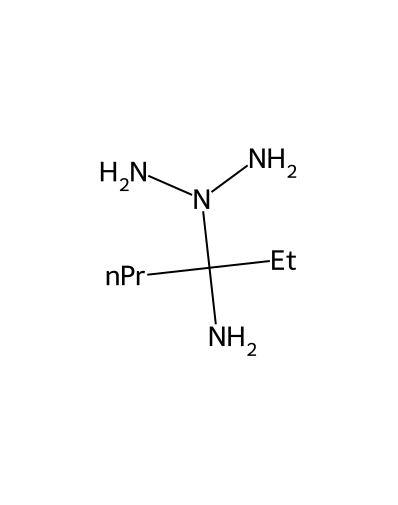 CCCC(N)(CC)N(N)N